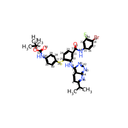 CC(C)c1ccc2c(Nc3cc(C(=O)Nc4ccc(Br)c(F)c4)ccc3Sc3ccc(NC(=O)OC(C)(C)C)cc3)ncnc2n1